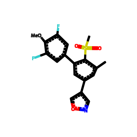 COc1c(F)cc(-c2cc(-c3cnoc3)cc(C)c2S(C)(=O)=O)cc1F